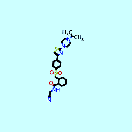 CC(C)N1CCN(c2nc(-c3ccc(S(=O)(=O)CC4CCCCC4C(=O)NCC#N)cc3)cs2)CC1